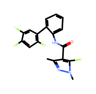 Cc1nn(C)c(F)c1C(=O)Nc1ccccc1-c1cc(F)c(F)cc1F